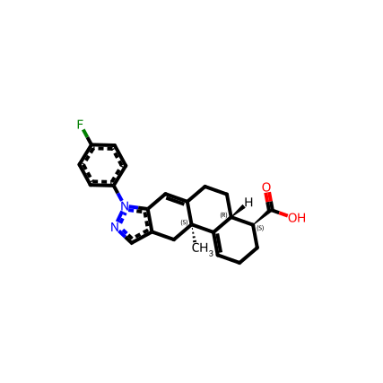 C[C@]12Cc3cnn(-c4ccc(F)cc4)c3C=C1CC[C@H]1C2=CCC[C@@H]1C(=O)O